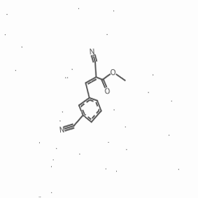 COC(=O)C(C#N)=Cc1cccc(C#N)c1